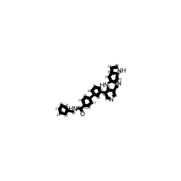 N#Cc1cncc(-c2cccc(-c3ccc(C(=O)NCc4ccccc4)cc3)c2)c1Nc1ccc2[nH]ccc2c1